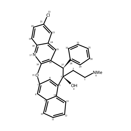 CNCC[C@]1(O)c2cc(cc3ccccc23)Oc2nc3ccc(Cl)cc3cc2[C@H]1c1ccccc1